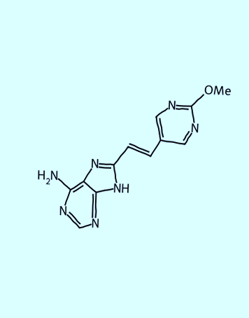 COc1ncc(C=Cc2nc3c(N)ncnc3[nH]2)cn1